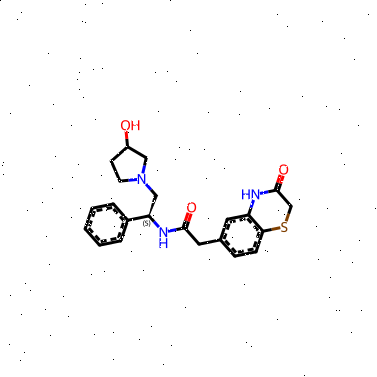 O=C1CSc2ccc(CC(=O)N[C@H](CN3CCC(O)C3)c3ccccc3)cc2N1